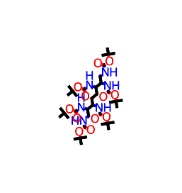 CC(C)(C)OC(=O)NCC(NC(=O)OC(C)(C)C)C(CCC(NC(=O)OC(C)(C)C)C(CNC(=O)OC(C)(C)C)NC(=O)OC(C)(C)C)NC(=O)OC(C)(C)C